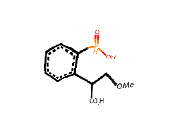 COCC(C(=O)O)c1ccccc1[PH](=O)O